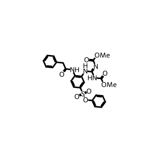 COC(=O)/N=C(/NC(=O)OC)Nc1cc(S(=O)(=O)Oc2ccccc2)ccc1NC(=O)Cc1ccccc1